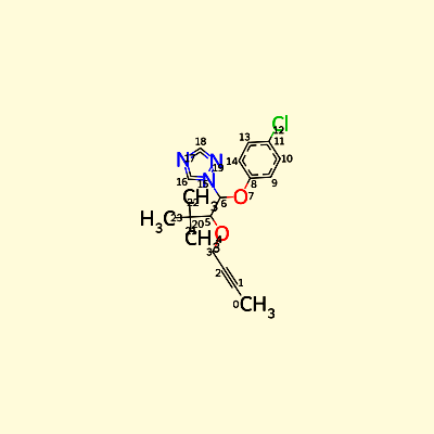 CC#CCOC(C(Oc1ccc(Cl)cc1)n1cncn1)C(C)(C)C